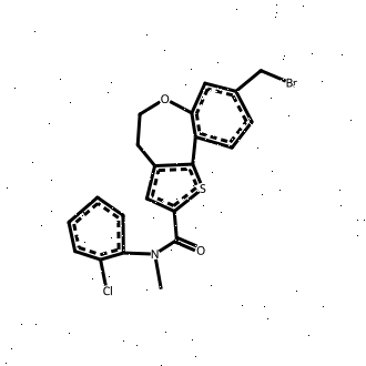 CN(C(=O)c1cc2c(s1)-c1ccc(CBr)cc1OCC2)c1ccccc1Cl